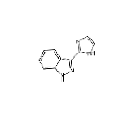 c1ccc2c(-c3ncc[nH]3)n[nH]c2c1